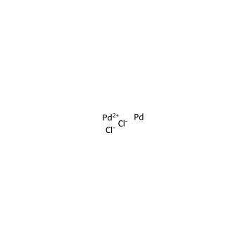 [Cl-].[Cl-].[Pd+2].[Pd]